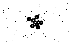 Fc1ccc(-c2nc(-c3ccccc3)nc(-n3c4ccccc4c4c5ccccc5c5c6ccccc6ccc5c43)n2)cc1